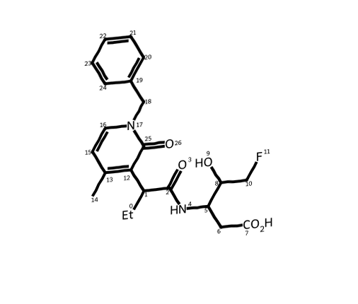 CCC(C(=O)NC(CC(=O)O)C(O)CF)c1c(C)ccn(Cc2ccccc2)c1=O